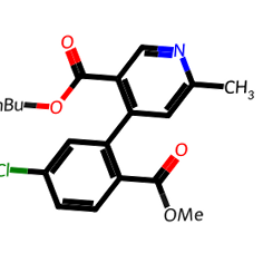 CCCCOC(=O)c1cnc(C)cc1-c1cc(Cl)ccc1C(=O)OC